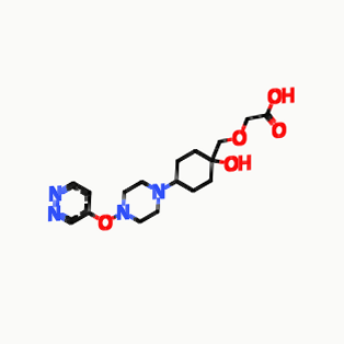 O=C(O)COCC1(O)CCC(N2CCN(Oc3ccnnc3)CC2)CC1